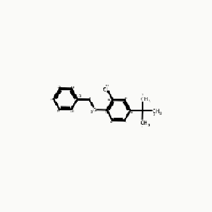 CC(C)(C)c1ccc(OCc2ccccc2)c(Cl)c1